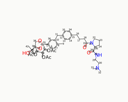 CC(=O)O[C@@H]1[C@@H](OC(C)=O)[C@@]2(c3ccc(C)c(Cc4ccc(CCCC(=O)N5CCC[C@H]5C(=O)NCCN(C)C)cc4)c3)OC[C@](C(C)(C)O)(O2)[C@H]1OC(C)=O